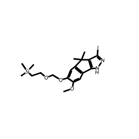 COc1cc2c(cc1OCOCC[Si](C)(C)C)C(C)(C)c1c(I)n[nH]c1-2